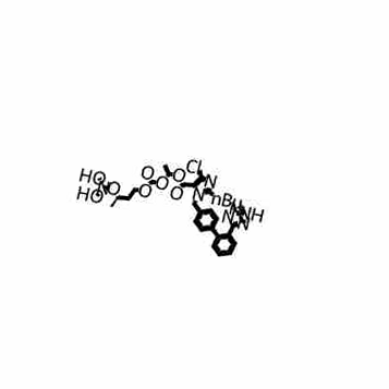 CCCCc1nc(Cl)c(C(=O)OC(C)OC(=O)OCC[C@@H](C)ON(O)O)n1Cc1ccc(-c2ccccc2-c2nn[nH]n2)cc1